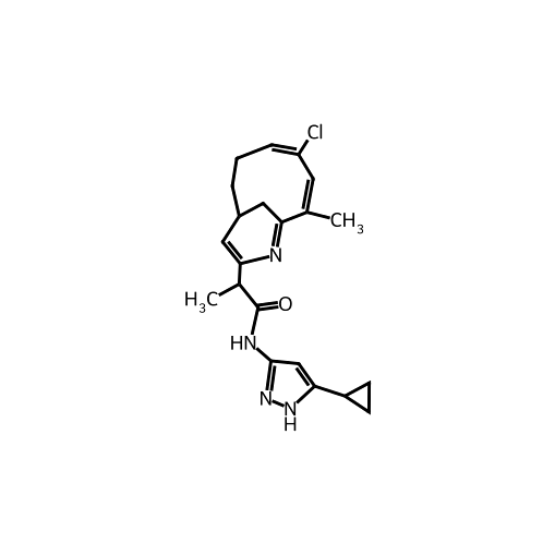 C/C1=C/C(Cl)=C\CCC2C=C(C(C)C(=O)Nc3cc(C4CC4)[nH]n3)N=C1C2